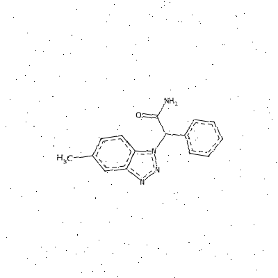 Cc1ccc2c(c1)nnn2C(C(N)=O)c1ccccc1